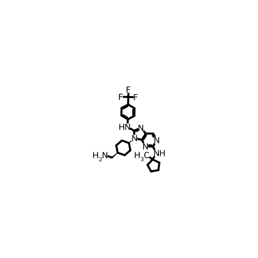 CC1(Nc2ncc3nc(Nc4ccc(C(F)(F)F)cc4)n([C@H]4CC[C@H](CN)CC4)c3n2)CCCC1